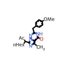 CCCCCCC(C(C)=O)c1nc(C)c2c(=O)[nH]c(Cc3ccc(OC)cc3)nn12